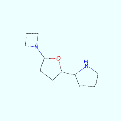 C1CNC(C2CCC(N3CCC3)O2)C1